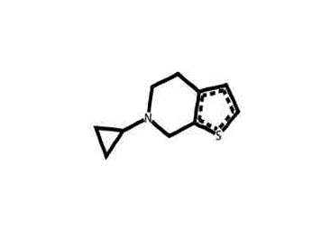 c1cc2c(s1)CN(C1CC1)CC2